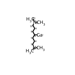 CN(C)CCC[CH]([Ga])CCCN(C)C